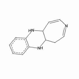 C1=CC2Nc3ccccc3NC2CC=N1